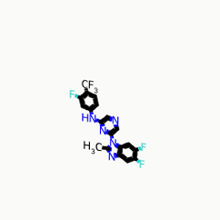 Cc1nc2cc(F)c(F)cc2n1-c1cncc(Nc2ccc(C(F)(F)F)c(F)c2)n1